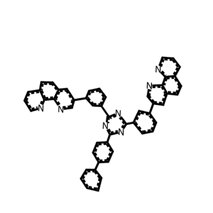 c1ccc(-c2ccc(-c3nc(-c4cccc(-c5cnc6c(ccc7cccnc76)c5)c4)nc(-c4cccc(-c5cnc6c(ccc7cccnc76)c5)c4)n3)cc2)cc1